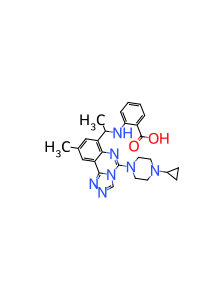 Cc1cc(C(C)Nc2ccccc2C(=O)O)c2nc(N3CCN(C4CC4)CC3)n3cnnc3c2c1